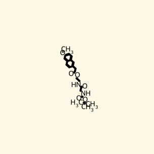 COc1ccc2cc(CC(=O)OCCNC(=O)CNC(=O)OC(C)(C)C)ccc2c1